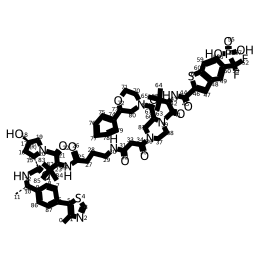 Cc1ncsc1-c1ccc([C@H](C)NC(=O)[C@@H]2C[C@@H](O)CN2C(=O)C(NC(=O)CCCNC(=O)CC(=O)N2CCN(C(=O)C(NC(=O)c3cc4cc(C(F)(F)P(=O)(O)O)ccc4s3)C(C)(C)C)C(C(=O)N3CCOC(c4ccccc4)C3)C2)C(C)(C)C)cc1